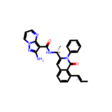 C/C=C/c1cccc2cc([C@@H](C)NC(=O)c3c(N)nn4cccnc34)n(-c3ccccc3)c(=O)c12